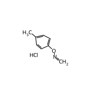 C=NOc1ccc(C)cc1.Cl